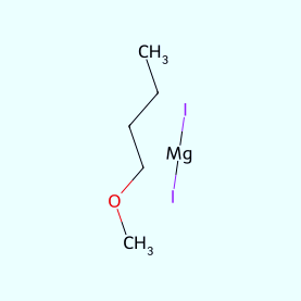 CCCCOC.[I][Mg][I]